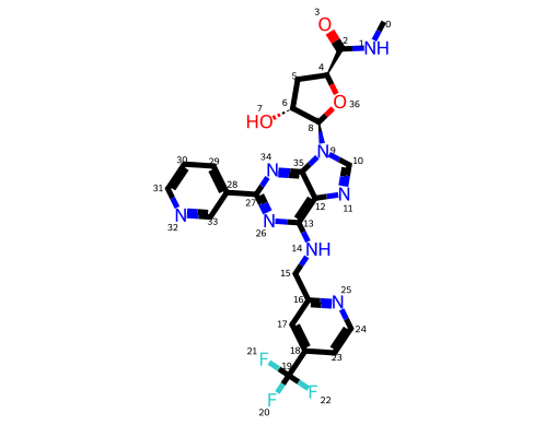 CNC(=O)[C@@H]1C[C@@H](O)[C@H](n2cnc3c(NCc4cc(C(F)(F)F)ccn4)nc(-c4cccnc4)nc32)O1